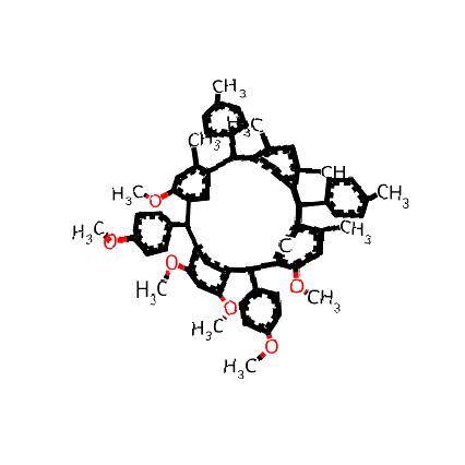 COc1ccc(C2c3cc(c(C)cc3OC)C(c3ccc(C)cc3)c3cc(c(C)cc3C)C(c3ccc(C)cc3)c3cc(c(OC)cc3C)C(c3ccc(OC)cc3)c3cc2c(OC)cc3OC)cc1